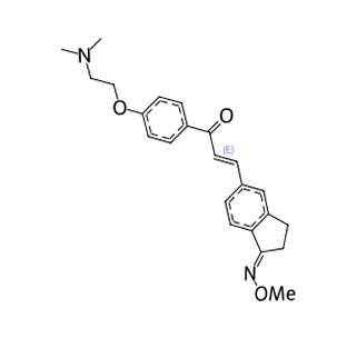 CON=C1CCc2cc(/C=C/C(=O)c3ccc(OCCN(C)C)cc3)ccc21